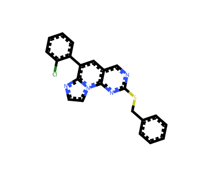 Clc1ccccc1-c1cc2cnc(SCc3ccccc3)nc2n2ccnc12